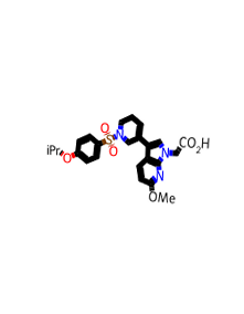 COc1ccc2c(C3=CCCN(S(=O)(=O)c4ccc(OC(C)C)cc4)C3)cn(CC(=O)O)c2n1